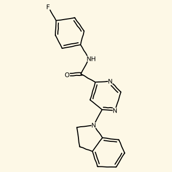 O=C(Nc1ccc(F)cc1)c1cc(N2CCc3ccccc32)ncn1